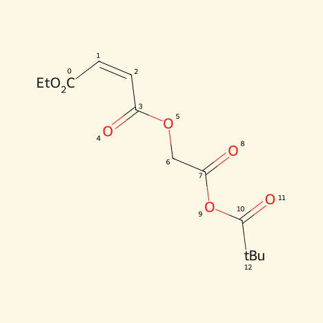 CCOC(=O)/C=C\C(=O)OCC(=O)OC(=O)C(C)(C)C